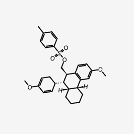 COC1=CCC([C@H]2[C@H]3CCCC[C@H]3c3cc(OC)ccc3[C@@H]2COS(=O)(=O)c2ccc(C)cc2)C=C1